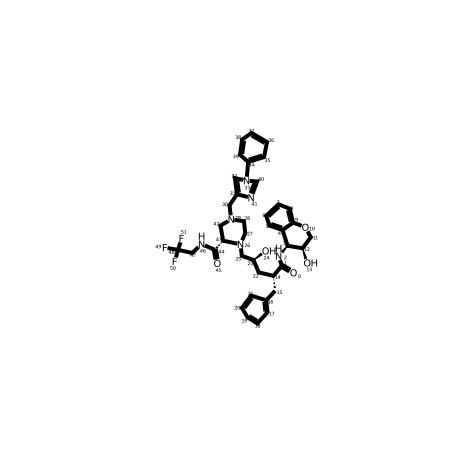 O=C(N[C@H]1c2ccccc2OC[C@H]1O)[C@H](Cc1ccccc1)C[C@H](O)CN1CCN(Cc2cn(-c3ccccc3)cn2)C[C@H]1C(=O)NCC(F)(F)F